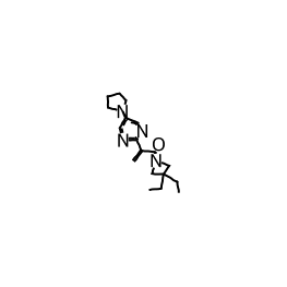 C=C(C(=O)N1CC(CC)(CC)C1)c1ncc(N2CCCC2)cn1